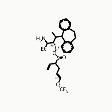 C=CC(C/C=C/OC(F)(F)F)S(=O)OO[C@@H](C(N)CC)C(C)C1c2ccccc2CCc2ccccc21